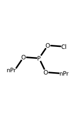 CCCOP(OCl)OCCC